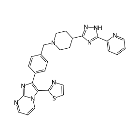 c1ccc(-c2nc(C3CCN(Cc4ccc(-c5nc6ncccn6c5-c5nccs5)cc4)CC3)n[nH]2)nc1